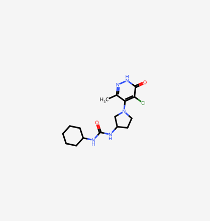 Cc1n[nH]c(=O)c(Cl)c1N1CCC(NC(=O)NC2CCCCC2)C1